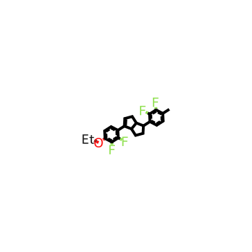 CCOc1ccc(C2=CCC3C2CCC3c2ccc(C)c(F)c2F)c(F)c1F